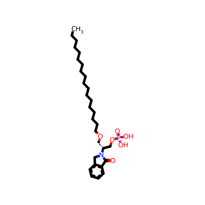 CCCCCCCCCCCCCCCCCCOC[C@H](COP(=O)(O)O)N1Cc2ccccc2C1=O